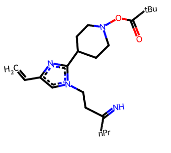 C=Cc1cn(CCC(=N)CCC)c(C2CCN(OC(=O)C(C)(C)C)CC2)n1